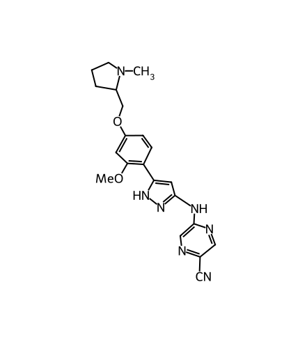 COc1cc(OCC2CCCN2C)ccc1-c1cc(Nc2cnc(C#N)cn2)n[nH]1